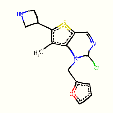 Cc1c(C2CNC2)sc2c1N(Cc1ccco1)C(Cl)N=C2